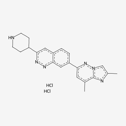 Cc1cn2nc(-c3ccc4cc(C5CCNCC5)nnc4c3)cc(C)c2n1.Cl.Cl